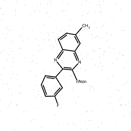 CCCCCCCCCc1nc2cc(C)ccc2nc1-c1cccc(F)c1